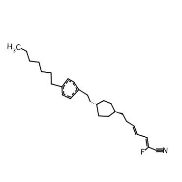 CCCCCCCc1ccc(CC[C@H]2CC[C@H](CCC=CC=C(F)C#N)CC2)cc1